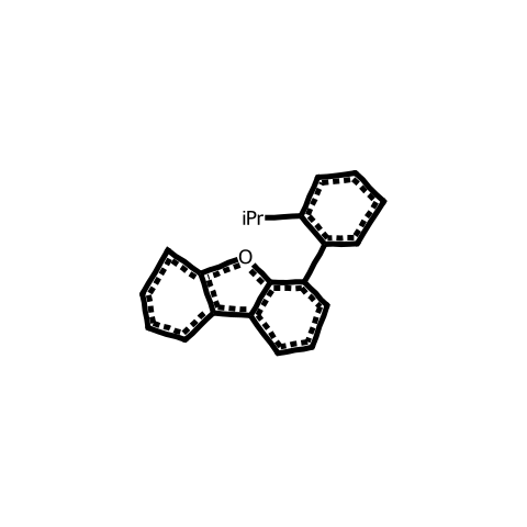 CC(C)c1ccccc1-c1cccc2c1oc1ccccc12